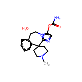 CN1CCC2(CC1)c1ccccc1CCn1c(OC(N)=O)cnc12.O